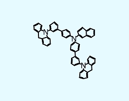 c1cc(-c2ccc(N(c3ccc(-c4cccc(N5c6ccccc6Cc6ccccc65)c4)cc3)c3ccc4ccccc4c3)cc2)cc(N2c3ccccc3Cc3ccccc32)c1